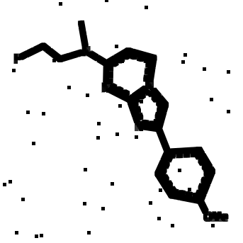 COc1ccc(-c2cn3ccc(N(C)CCF)nc3n2)cc1